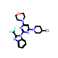 CCC1CCN(c2cc(N3CCOCC3)nc(-n3c(C(F)F)nc4ccccc43)n2)CC1